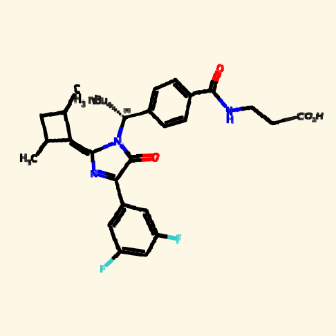 CCCC[C@H](c1ccc(C(=O)NCCC(=O)O)cc1)N1C(=O)C(c2cc(F)cc(F)c2)=NC1=C1C(C)CC1C